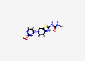 CNC(=O)Nc1nc2c(s1)CN(c1ccnc(OC)n1)CC2